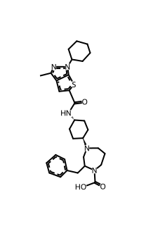 Cc1nn(C2CCCCC2)c2sc(C(=O)N[C@H]3CC[C@H](N4CCCN(C(=O)O)C(Cc5ccccc5)C4)CC3)cc12